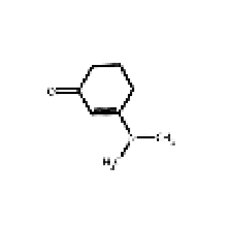 CN(C)C1=CC(=O)CCC1